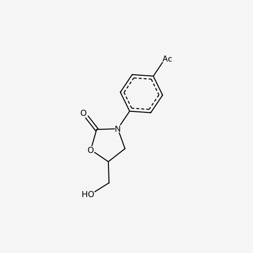 CC(=O)c1ccc(N2CC(CO)OC2=O)cc1